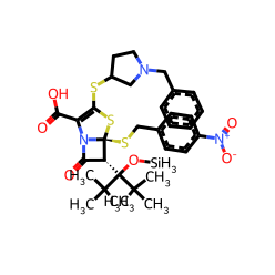 CC(C)(C)C(O[SiH3])([C@@H]1C(=O)N2C(C(=O)O)=C(SC3CCN(Cc4ccccc4)C3)S[C@]12SCc1ccc([N+](=O)[O-])cc1)C(C)(C)C